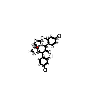 O=C(C(c1ccc(Cl)cc1Cl)n1cncn1)C(c1ccc(Cl)cc1Cl)n1cncn1